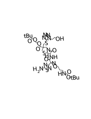 CC(C)(C)OC(=O)NCCCON=C(C(=O)NC1C(=O)N2CC(CSc3nnnn3CCO)(C(=O)OCOC(=O)C(C)(C)C)CS[C@H]12)c1nsc(N)n1